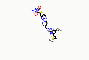 CC(=O)c1ccc(-c2cc(C(F)(F)F)cc(CNCC3CCN(c4nccc(/C=C5\SC(=O)NC5=O)n4)CC3)n2)s1